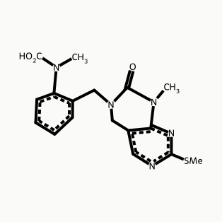 CSc1ncc2c(n1)N(C)C(=O)N(Cc1ccccc1N(C)C(=O)O)C2